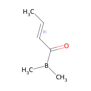 C/C=C/C(=O)B(C)C